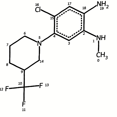 CNc1cc(N2CCCC(C(F)(F)F)C2)c(Cl)cc1N